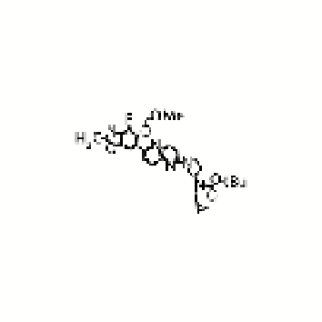 COCOc1c(-c2ccc3nc(N4CCC(N(CC5CC5)C(=O)OC(C)(C)C)C4)ccc3n2)cc2oc(C)nc2c1F